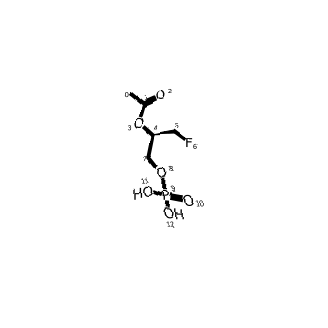 CC(=O)O[C@@H](CF)COP(=O)(O)O